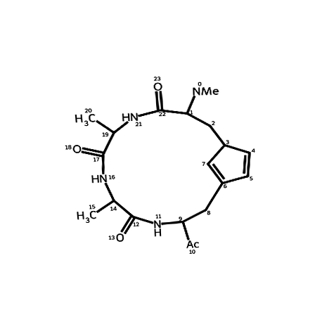 CNC1CC2C=CC(=C2)CC(C(C)=O)NC(=O)C(C)NC(=O)C(C)NC1=O